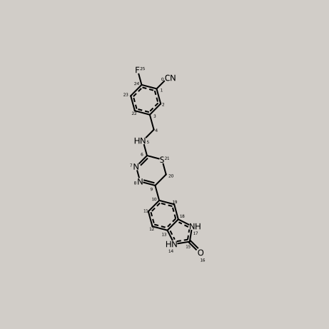 N#Cc1cc(CNC2=NN=C(c3ccc4[nH]c(=O)[nH]c4c3)CS2)ccc1F